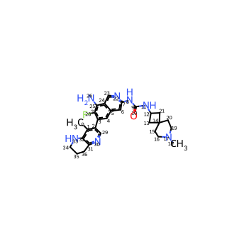 Cc1c(-c2cc3cc(NC(=O)NC4CC5(CCN(C)CC5)C4)ncc3c(N)c2F)cnc2c1NCCC2